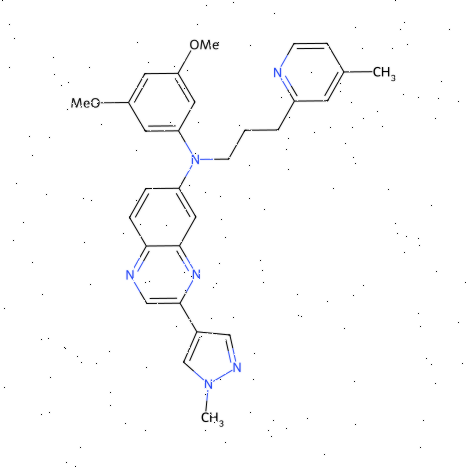 COc1cc(OC)cc(N(CCCc2cc(C)ccn2)c2ccc3ncc(-c4cnn(C)c4)nc3c2)c1